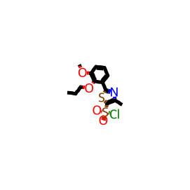 CCCOc1c(OC)cccc1-c1nc(C)c(S(=O)(=O)Cl)s1